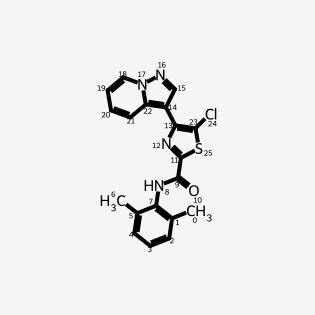 Cc1cccc(C)c1NC(=O)c1nc(-c2cnn3ccccc23)c(Cl)s1